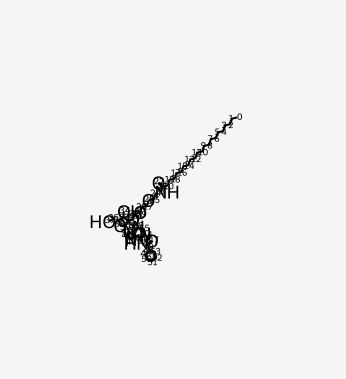 CCCCCCCCCCCCCCCCCCCCCC(=O)NCCOCCOCOC1C(O)[C@@H](CO)O[C@H]1n1cnc2c(NC(=O)c3ccccc3)ncnc21